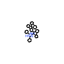 C1=CC2c3ccccc3C3(c4ccccc4-c4ccc(-c5c(C6N=C(c7ccccc7)NC(c7ccccc7)N6)c6ccccc6c6ccccc56)cc43)C2C=C1